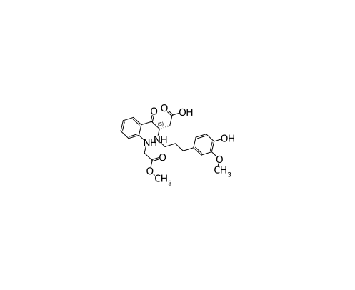 COC(=O)CNc1ccccc1C(=O)[C@H](CC(=O)O)NCCCc1ccc(O)c(OC)c1